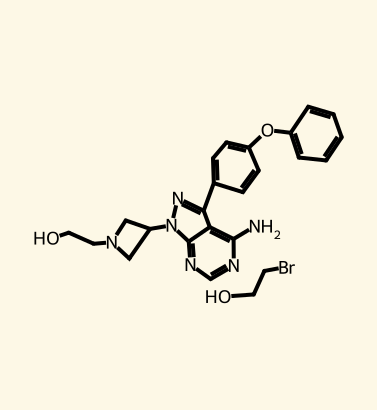 Nc1ncnc2c1c(-c1ccc(Oc3ccccc3)cc1)nn2C1CN(CCO)C1.OCCBr